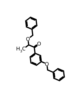 CC(OCc1ccccc1)C(=O)c1cccc(OCc2ccccc2)c1